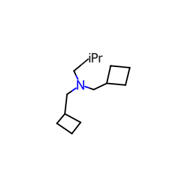 CC(C)CN(CC1CCC1)CC1CCC1